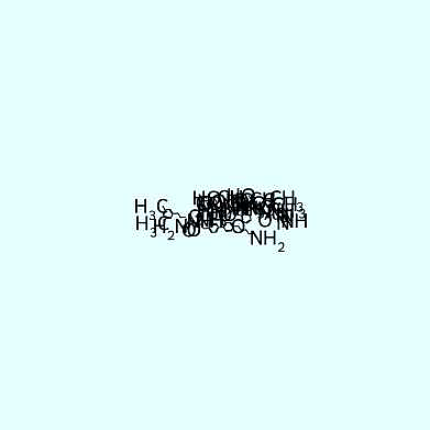 CCc1cc(OCCCCN)ccc1-c1ccc(C[C@H](NC(=O)[C@H](CC(=O)O)NC(=O)[C@H](CO)NC(=O)[C@@H](NC(=O)[C@](C)(Cc2ccccc2F)NC(=O)[C@@H](NC(=O)CNC(=O)[C@H](Cc2nn[nH]n2)NC(=O)C(C)(C)C(=O)O)[C@@H](C)O)[C@@H](C)O)C(=O)N[C@@H](CCCc2cc(C)cc(C)c2)C(N)=O)cc1